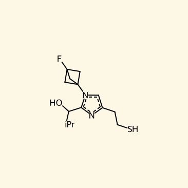 CC(C)C(O)c1nc(CCS)cn1C12CC(F)(C1)C2